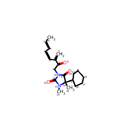 C=C(/C=C\C=C\C)C(=O)CN1C(=O)N(C)C(C)(C2CCCCC2)C1=O